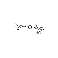 C[C@H](O)c1nccn1Cc1cc(-c2ccc(C#CC3CC(NC=O)C3)cc2)on1